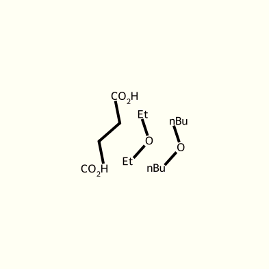 CCCCOCCCC.CCOCC.O=C(O)CCC(=O)O